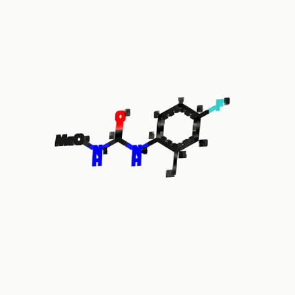 CONC(=O)Nc1ccc(F)cc1C